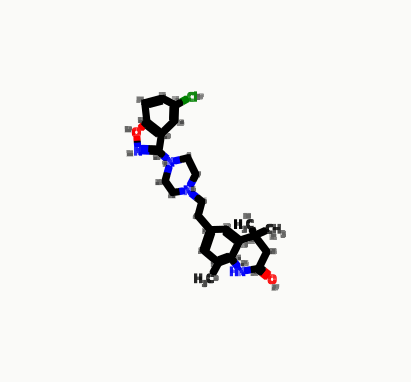 Cc1cc(CCN2CCN(c3noc4ccc(Cl)cc34)CC2)cc2c1NC(=O)CC2(C)C